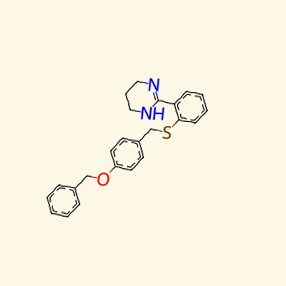 c1ccc(COc2ccc(CSc3ccccc3C3=NCCCN3)cc2)cc1